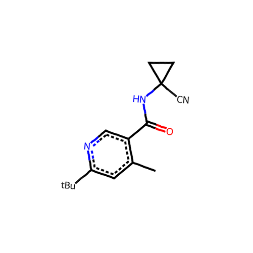 Cc1cc(C(C)(C)C)ncc1C(=O)NC1(C#N)CC1